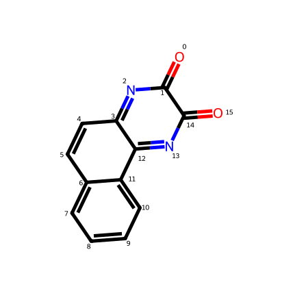 O=C1N=c2ccc3ccccc3c2=NC1=O